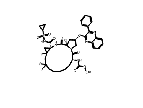 CC(C)(C)OC(=O)N[C@H]1CCCCCC(F)(F)C[C@@H]2C[C@@]2(C(=O)NS(=O)(=O)C2CC2)NC(=O)[C@@H]2C[C@@H](Oc3nc4ccccc4nc3-c3ccccc3)CN2C1=O